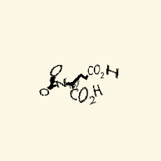 O=C(O)CC[C@@H](C(=O)O)n1c(=O)c1=O